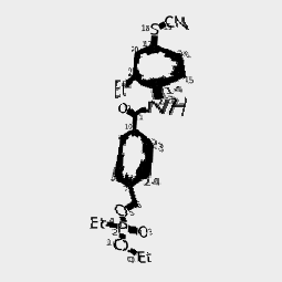 CCOP(=O)(CC)OCc1ccc(C(=O)Nc2ccc(SC#N)cc2CC)cc1